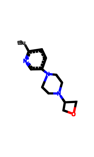 CC(C)(C)c1ccc(N2CCN(C3COC3)CC2)cn1